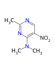 Cc1ncc([N+](=O)[O-])c(N(C)C)n1